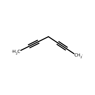 [CH2]C#CCC#C[CH2]